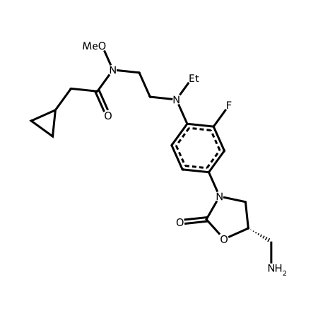 CCN(CCN(OC)C(=O)CC1CC1)c1ccc(N2C[C@H](CN)OC2=O)cc1F